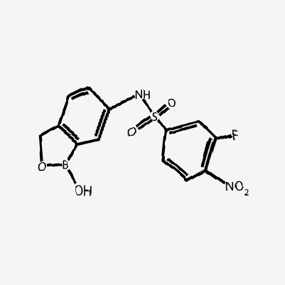 O=[N+]([O-])c1ccc(S(=O)(=O)Nc2ccc3c(c2)B(O)OC3)cc1F